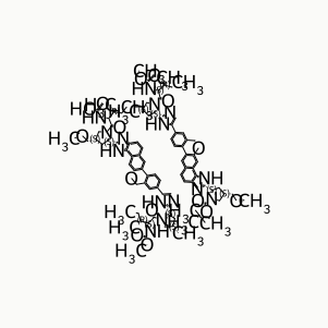 CC[C@@H](C)C(NC(=O)O)C(=O)N1C[C@@H](COC)C[C@H]1c1nc2ccc3cc4c(cc3c2[nH]1)OCc1cc(-c2cnc([C@@H]3C[C@H](C)CN3C(=O)[C@@H](NC(=O)OC)[C@H](C)CC)[nH]2)ccc1-4.CC[C@@H](C)[C@H](NC(=O)OC)C(=O)N1C[C@@H](C)C[C@H]1c1ncc(-c2ccc3c(c2)COc2cc4c(ccc5nc([C@@H]6C[C@H](COC)CN6C(=O)OC(C)(C)C)[nH]c54)cc2-3)[nH]1